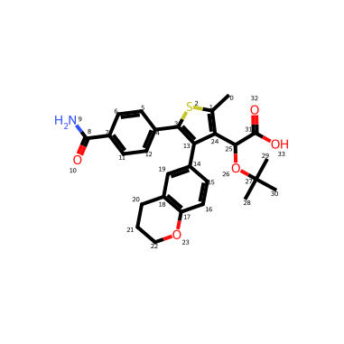 Cc1sc(-c2ccc(C(N)=O)cc2)c(-c2ccc3c(c2)CCCO3)c1C(OC(C)(C)C)C(=O)O